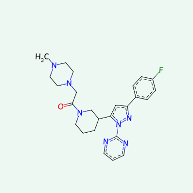 CN1CCN(CC(=O)N2CCCC(c3cc(-c4ccc(F)cc4)nn3-c3ncccn3)C2)CC1